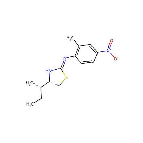 CC[C@H](C)[C@H]1CSC(=Nc2ccc([N+](=O)[O-])cc2C)N1